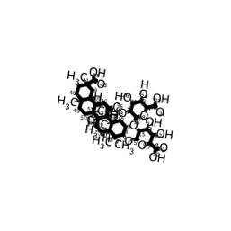 CC1(C)[C@@H](OC2OC(C(=O)O)C(O)[C@H](O)C2OC2OC(C(=O)O)C(O)[C@H](O)C2O)CC[C@]2(C)[C@H]3C(=O)C=C4[C@@H]5C[C@@](C)(C(=O)O)CC[C@]5(C)CC[C@@]4(C)[C@]3(C)CC[C@@H]12